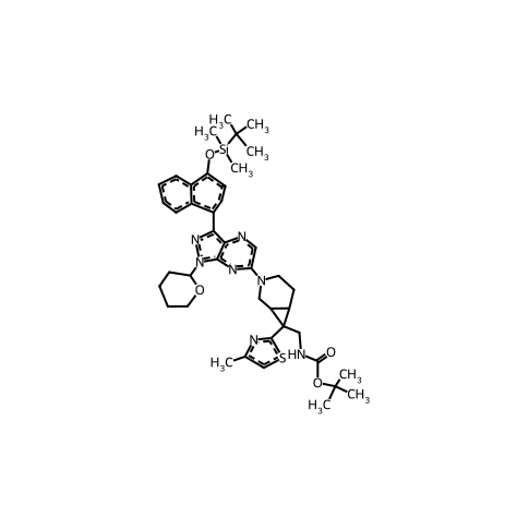 Cc1csc(C2(CNC(=O)OC(C)(C)C)C3CCN(c4cnc5c(-c6ccc(O[Si](C)(C)C(C)(C)C)c7ccccc67)nn(C6CCCCO6)c5n4)CC32)n1